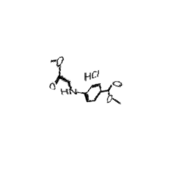 COC(=O)CNc1ccc(C(=O)OC)cc1.Cl